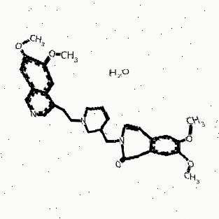 COc1cc2c(cc1OC)CC(=O)N(CC1CCCN(CCc3cncc4cc(OC)c(OC)cc34)C1)C=C2.O